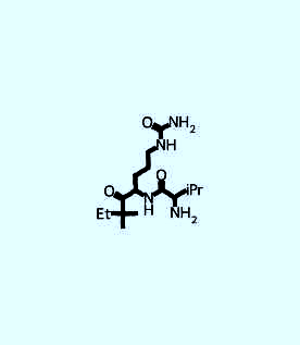 CCC(C)(C)C(=O)C(CCCNC(N)=O)NC(=O)C(N)C(C)C